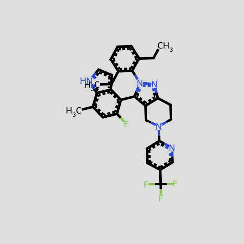 CCc1cccc(CC)c1-n1nc2c(c1-c1c(F)cc(C)c3[nH]ccc13)CN(c1ccc(C(F)(F)F)cn1)CC2